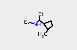 CCNC(CC)C1CCC1C